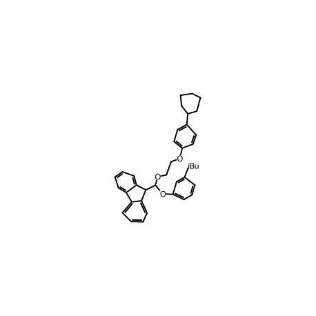 CCC(C)c1cccc(OC(OCCOc2ccc(C3CCCCC3)cc2)C2c3ccccc3-c3ccccc32)c1